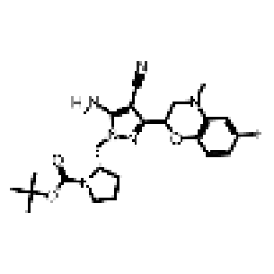 CN1CC(c2nn(C[C@@H]3CCCN3C(=O)OC(C)(C)C)c(N)c2C#N)Oc2ccc(F)cc21